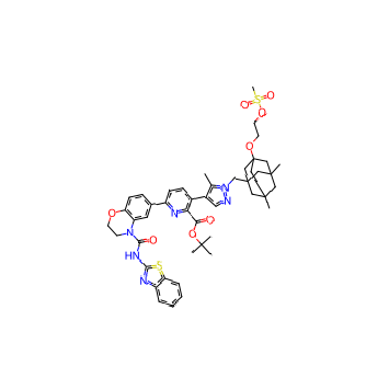 Cc1c(-c2ccc(-c3ccc4c(c3)N(C(=O)Nc3nc5ccccc5s3)CCO4)nc2C(=O)OC(C)(C)C)cnn1CC12CC3(C)CC(C)(C1)CC(OCCOS(C)(=O)=O)(C3)C2